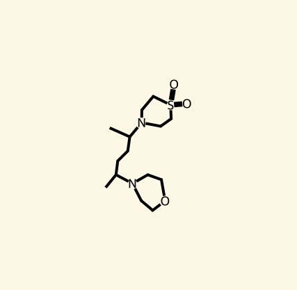 CC(CCC(C)N1CCS(=O)(=O)CC1)N1CCOCC1